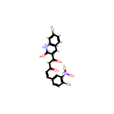 O=C(/C=C\c1ccc(Cl)c([N+](=O)[O-])c1)CC(=O)c1cc2ccc(Cl)cc2[nH]c1=O